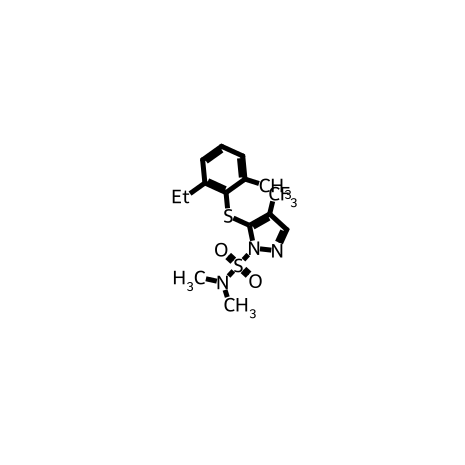 CCc1cccc(C)c1Sc1c(C(F)(F)F)cnn1S(=O)(=O)N(C)C